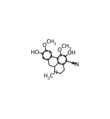 COc1cc2c(cc1O)CC1c3c(c(C#N)c(O)c(OC)c3-2)CCN1C